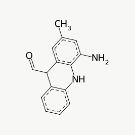 Cc1cc(N)c2c(c1)C(C=O)c1ccccc1N2